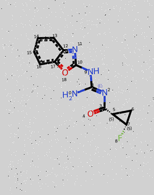 N/C(=N\C(=O)[C@@H]1C[C@@H]1F)Nc1nc2ccccc2o1